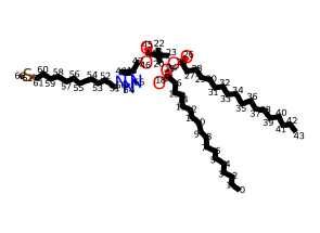 CCCCCCCCCCCCCCCCCC(=O)OCC(C)(COC(=O)CCCCCCCCCCCCCCCCC)C(=O)OCc1cn(CCCCCCCCCCCSC)nn1